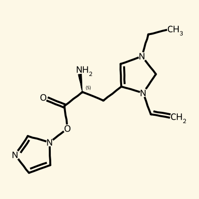 C=CN1CN(CC)C=C1C[C@H](N)C(=O)On1ccnc1